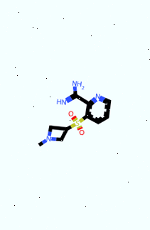 CN1CC(S(=O)(=O)c2cccnc2C(=N)N)C1